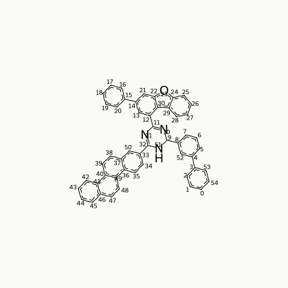 c1ccc(-c2cccc(C3N=C(c4cc(-c5ccccc5)cc5oc6ccccc6c45)N=C(c4ccc5c(ccc6c7ccccc7ccc56)c4)N3)c2)cc1